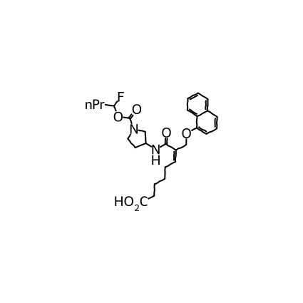 CCCC(F)OC(=O)N1CCC(NC(=O)C(=CCCCCC(=O)O)COc2cccc3ccccc23)C1